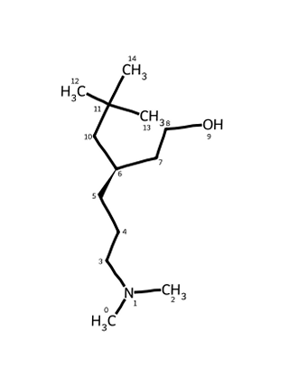 CN(C)CCC[C@H](CCO)CC(C)(C)C